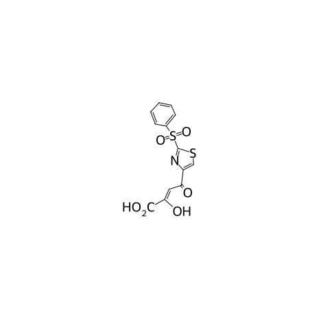 O=C(O)/C(O)=C/C(=O)c1csc(S(=O)(=O)c2ccccc2)n1